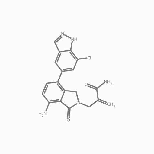 C=C(CN1Cc2c(-c3cc(Cl)c4[nH]ncc4c3)ccc(N)c2C1=O)C(N)=O